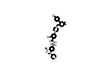 CN(c1ccc(S(=O)(=O)NC(=O)c2ccc(N3CCN(CC4=C(c5ccc(Cl)cc5)CC(C)(C)CC4)CC3)cc2Br)cc1[N+](=O)[O-])C1CCOCC1